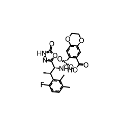 Cc1ccc(F)c([C@@H](C)[C@H](NS(=O)(=O)c2cc3c(cc2C(=O)O)OCCO3)c2n[nH]c(=O)o2)c1C